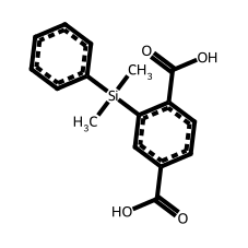 C[Si](C)(c1ccccc1)c1cc(C(=O)O)ccc1C(=O)O